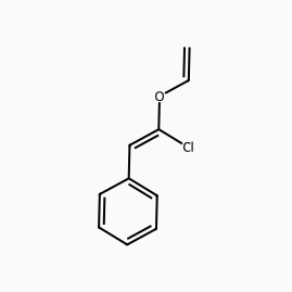 C=COC(Cl)=Cc1ccccc1